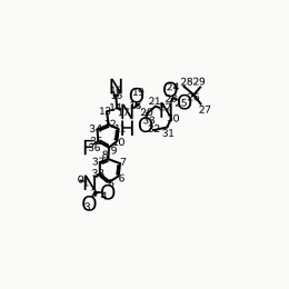 Cn1c(=O)oc2ccc(-c3ccc(C[C@@H](C#N)NC(=O)[C@@H]4CN(C(=O)OC(C)(C)C)CCCO4)cc3F)cc21